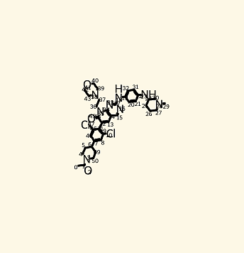 CC(=O)N1CCC(c2cc(Cl)c(-c3cc4cnc(Nc5ccc(NC6CCCN(C)C6)cc5)nc4n(CCN4CCOCC4)c3=O)c(Cl)c2)CC1